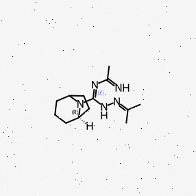 CC(=N)/N=C(\NN=C(C)C)N1C2CCC[C@@H]1CC2